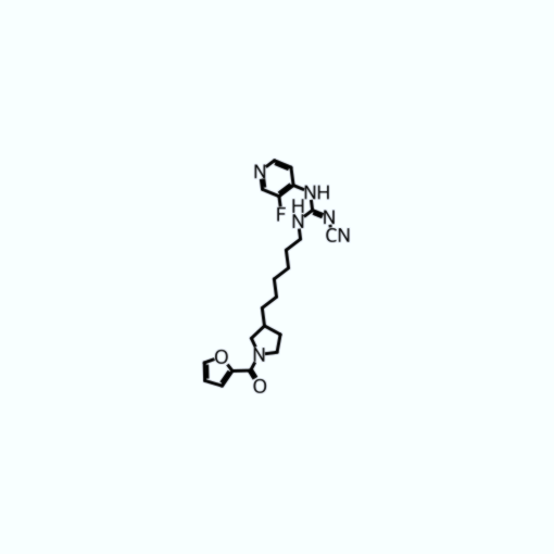 N#CN=C(NCCCCCCC1CCN(C(=O)c2ccco2)C1)Nc1ccncc1F